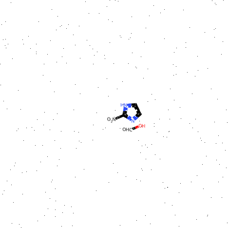 O=CO.O=[N+]([O-])c1ncc[nH]1